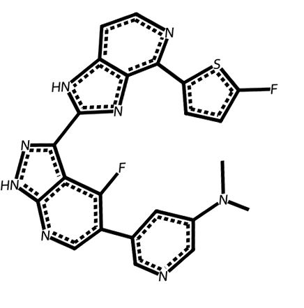 CN(C)c1cncc(-c2cnc3[nH]nc(-c4nc5c(-c6ccc(F)s6)nccc5[nH]4)c3c2F)c1